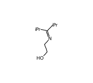 CC(C)C(=NCCO)C(C)C